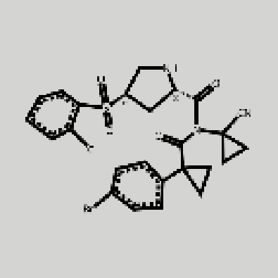 N#CC1(N(C(=O)[C@@H]2C[C@@H](S(=O)(=O)c3ccccc3Cl)CN2)C(=O)C2(c3ccc(Br)cc3)CC2)CC1